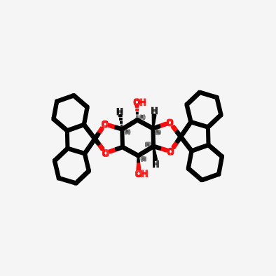 O[C@@H]1[C@@H]2OC3(O[C@@H]2[C@@H](O)C2OC4(O[C@H]21)C1CCCCC1C1CCCCC14)C1CCCCC1C1CCCCC13